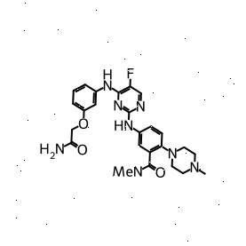 CNC(=O)c1cc(Nc2ncc(F)c(Nc3cccc(OCC(N)=O)c3)n2)ccc1N1CCN(C)CC1